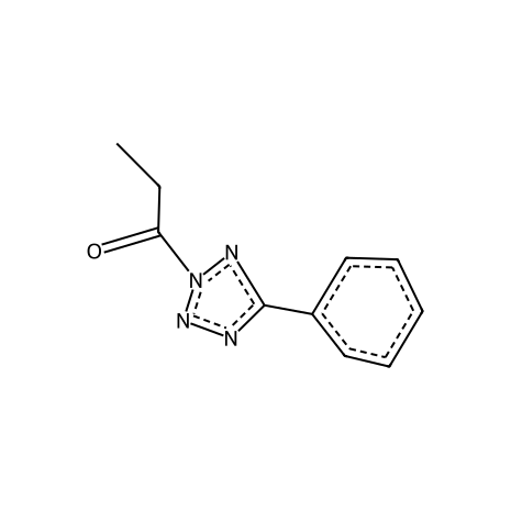 CCC(=O)n1nnc(-c2ccccc2)n1